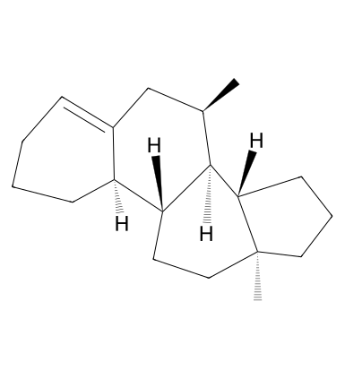 C[C@@H]1CC2=CCCC[C@@H]2[C@H]2CC[C@]3(C)CCC[C@H]3[C@@H]21